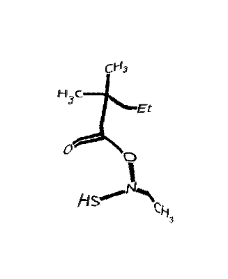 CCC(C)(C)C(=O)ON(C)S